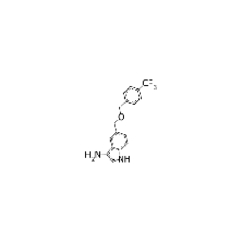 Nc1c[nH]c2ccc(COCc3ccc(C(F)(F)F)cc3)cc12